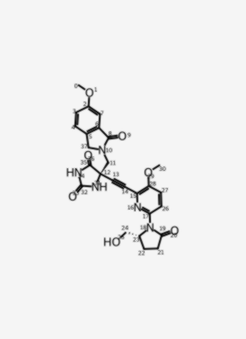 COc1ccc2c(c1)C(=O)N(C[C@@]1(C#Cc3nc(N4C(=O)CC[C@@H]4CO)ccc3OC)NC(=O)NC1=O)C2